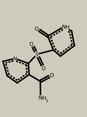 NC(=O)c1cccnc1S(=O)(=O)c1ccc[nH]c1=O